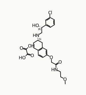 COCCNC(=O)COc1ccc2c(c1)C[C@@H](NC[C@H](O)c1cccc(Cl)c1)CC2.O=C(O)C(=O)O